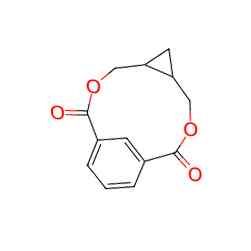 O=C1OCC2CC2COC(=O)c2cccc1c2